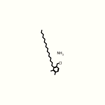 CCCCCCCCCCCCCCCCc1c(CCl)ccc(C)c1C.N